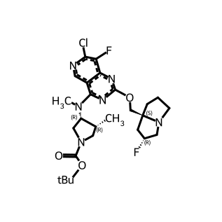 C[C@@H]1CN(C(=O)OC(C)(C)C)C[C@@H]1N(C)c1nc(OC[C@@]23CCCN2C[C@H](F)C3)nc2c(F)c(Cl)ncc12